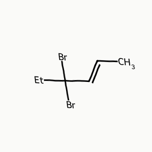 CC=CC(Br)(Br)CC